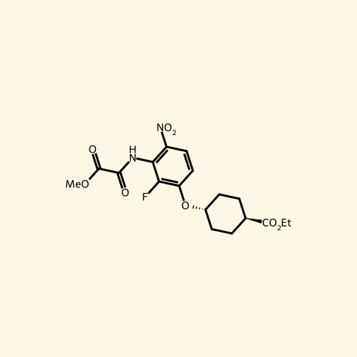 CCOC(=O)[C@H]1CC[C@H](Oc2ccc([N+](=O)[O-])c(NC(=O)C(=O)OC)c2F)CC1